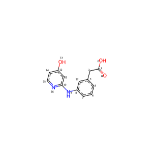 O=C(O)Cc1cccc(Nc2cc(O)ccn2)c1